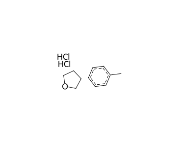 C1CCOC1.Cc1ccccc1.Cl.Cl